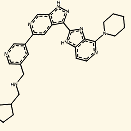 c1cc2[nH]c(-c3n[nH]c4cnc(-c5cncc(CNCC6CCCC6)c5)cc34)nc2c(N2CCCCC2)n1